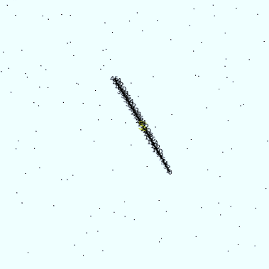 CCCCCCCCCCCCCCCCCCCCCCSSCCCCCCCCCCCCCCCCCCCCCC